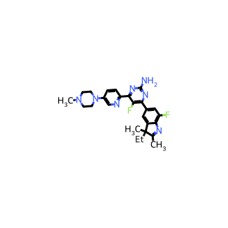 CCC1(C)C(C)=Nc2c(F)cc(-c3nc(N)nc(-c4ccc(N5CCN(C)CC5)cn4)c3F)cc21